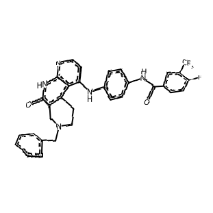 O=C(Nc1ccc(Nc2ccnc3[nH]c(=O)c4c(c23)CCN(Cc2ccccc2)C4)cc1)c1ccc(F)c(C(F)(F)F)c1